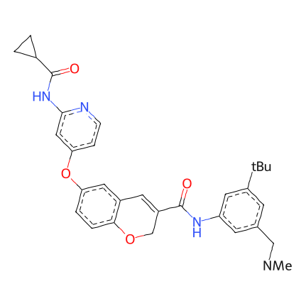 CNCc1cc(NC(=O)C2=Cc3cc(Oc4ccnc(NC(=O)C5CC5)c4)ccc3OC2)cc(C(C)(C)C)c1